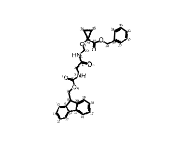 O=C(CNC(=O)OCC1c2ccccc2-c2ccccc21)NCOC1(C(=O)OCc2ccccc2)CC1